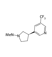 CNN1CC[C@H](c2cncc(C(F)(F)F)c2)C1